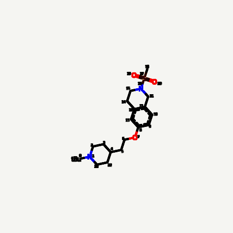 CC(C)(C)N1CCC(CCOc2ccc3c(c2)CCN(S(C)(=O)=O)C3)CC1